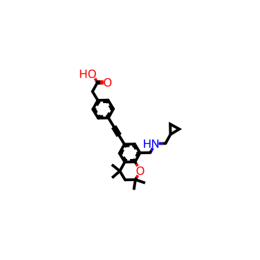 CC1(C)CC(C)(C)c2cc(C#Cc3ccc(CC(=O)O)cc3)cc(CNCC3CC3)c2O1